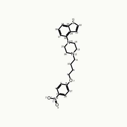 O=[N+]([O-])c1ccc(OCCCCN2CCN(c3cccc4sccc34)CC2)cc1